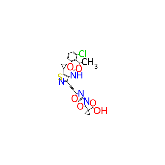 CC(OC(=O)Nc1c(C#Cc2nc3nc(C4(C(=O)O)CC4)oc3o2)nsc1C1CC1)c1ccccc1Cl